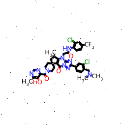 Cc1ncnc(C(=O)N2CCC3(CC2)C[C@H](C)c2c3c(=O)n3nc(-c4ccc(CN(C)C)c(Cl)c4)nc3n2CC(=O)Nc2ccc(C(F)(F)F)cc2Cl)c1O